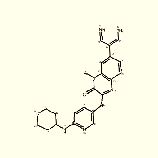 Cn1c(=O)c(Nc2ccc(NC3CCOCC3)nc2)nc2ccc(/C(C=N)=C/N)cc21